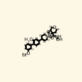 CCOc1cccc(-c2ccc(C3=CCN(S(=O)(=O)C4(C(=O)NO)CCOCC4)CC3)cc2C)c1